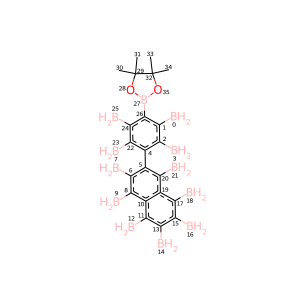 Bc1c(B)c(-c2c(B)c(B)c3c(B)c(B)c(B)c(B)c3c2B)c(B)c(B)c1B1OC(C)(C)C(C)(C)O1